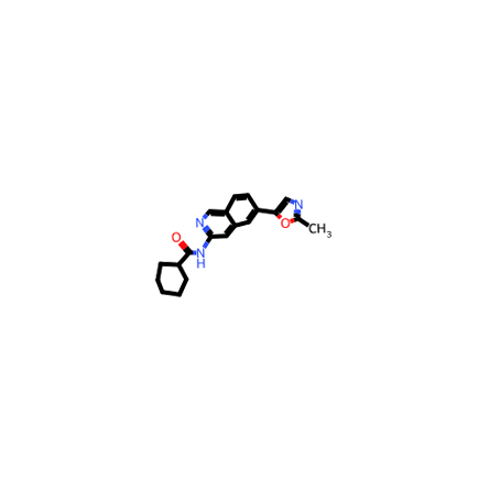 Cc1ncc(-c2ccc3cnc(NC(=O)C4CCCCC4)cc3c2)o1